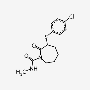 CNC(=O)N1CCCCC(Sc2ccc(Cl)cc2)C1=O